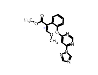 CO/C=C(/C(=O)OC)c1ccccc1Oc1cc(-n2cncn2)ncn1